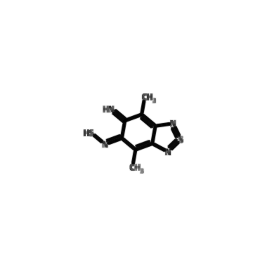 CC1=C2N=S=NC2=C(C)/C(=N/S)C1=N